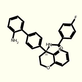 Nc1ccccc1-c1ccc([C@@]2(NC(=O)c3ccc(F)cc3)CCOc3cccnc32)cc1